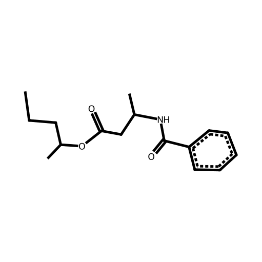 CCCC(C)OC(=O)CC(C)NC(=O)c1ccccc1